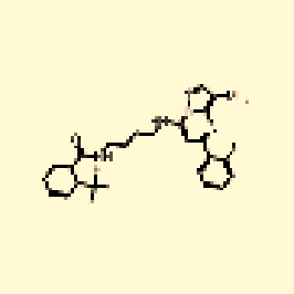 Bc1cnn2c(NCCCCNC(=O)C3CCC=CC3C(F)(F)F)cc(-c3ccccc3Cl)nc12